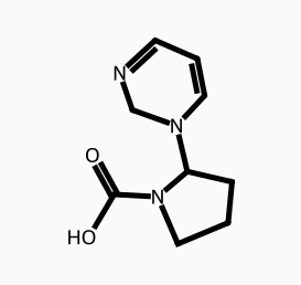 O=C(O)N1CCCC1N1C=CC=NC1